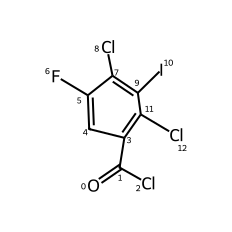 O=C(Cl)c1cc(F)c(Cl)c(I)c1Cl